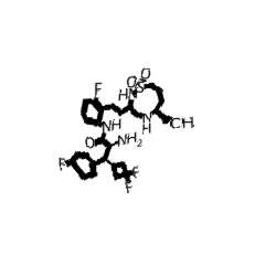 C#CC1CCCS(=O)(=O)NC(CCc2c(F)cccc2NC(=O)[C@@H](N)[C@H](c2ccc(F)cc2)C2CC(F)(F)C2)CN1